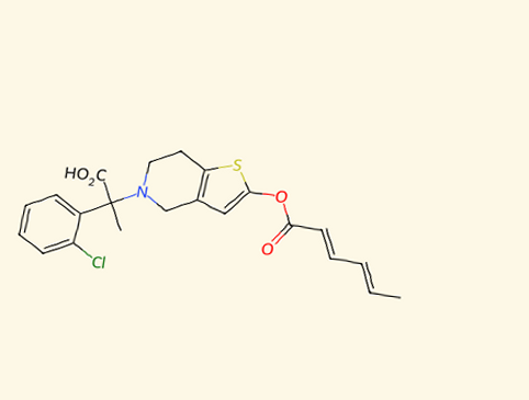 C/C=C/C=C/C(=O)Oc1cc2c(s1)CCN(C(C)(C(=O)O)c1ccccc1Cl)C2